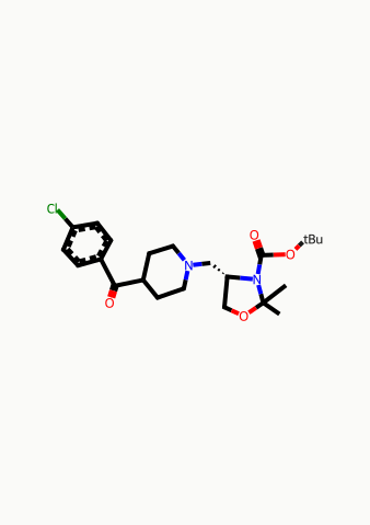 CC(C)(C)OC(=O)N1[C@@H](CN2CCC(C(=O)c3ccc(Cl)cc3)CC2)COC1(C)C